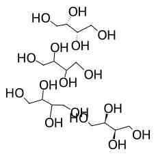 OCC(O)C(O)CO.OCC(O)C(O)CO.OC[C@@H](O)[C@H](O)CO.OC[C@H](O)[C@@H](O)CO